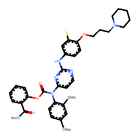 COC(=O)c1ccccc1OC(=O)N(c1ccnc(Nc2ccc(OCCCN3CCCCC3)c(F)c2)n1)c1ccc(OC)cc1OC